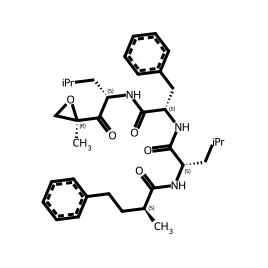 CC(C)C[C@H](NC(=O)[C@@H](C)CCc1ccccc1)C(=O)N[C@@H](Cc1ccccc1)C(=O)N[C@@H](CC(C)C)C(=O)[C@@]1(C)CO1